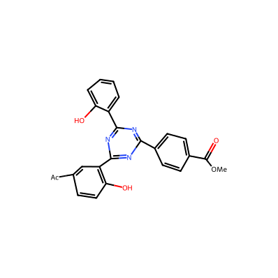 COC(=O)c1ccc(-c2nc(-c3ccccc3O)nc(-c3cc(C(C)=O)ccc3O)n2)cc1